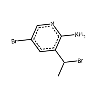 CC(Br)c1cc(Br)cnc1N